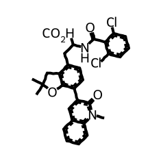 Cn1c(=O)c(-c2ccc(CC(NC(=O)c3c(Cl)cccc3Cl)C(=O)O)c3c2OC(C)(C)C3)cc2ccccc21